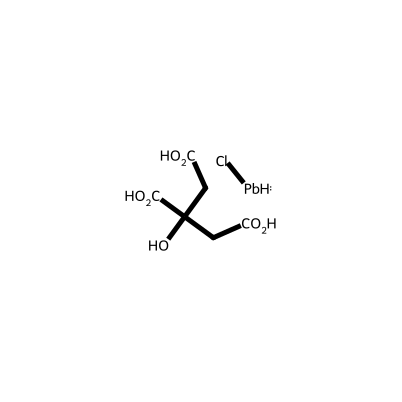 O=C(O)CC(O)(CC(=O)O)C(=O)O.[Cl][PbH]